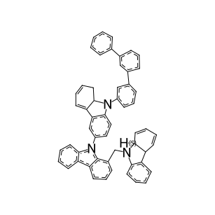 C1=CCC2C(=C1)c1cc(-n3c4ccccc4c4cccc(CN5c6ccccc6C6C=CC=C[C@@H]65)c43)ccc1N2c1cccc(-c2cccc(-c3ccccc3)c2)c1